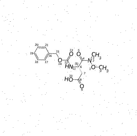 CON(C)C(=O)[C@H](CC(=O)O)NC(=O)OCc1ccccc1